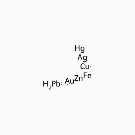 [Ag].[Au].[Cu].[Fe].[Hg].[PbH2].[Zn]